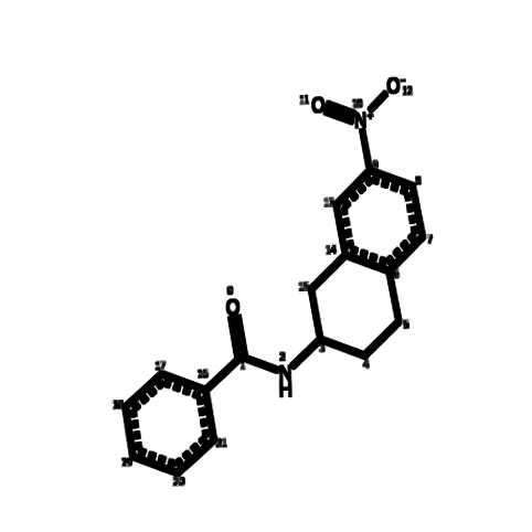 O=C(NC1CCc2ccc([N+](=O)[O-])cc2C1)c1ccccc1